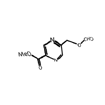 COC(=O)c1cnc(COC=O)cn1